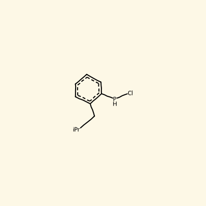 CC(C)Cc1ccccc1PCl